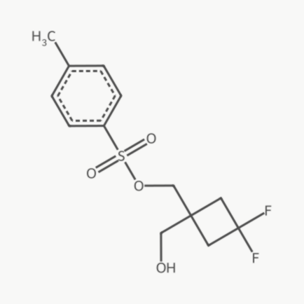 Cc1ccc(S(=O)(=O)OCC2(CO)CC(F)(F)C2)cc1